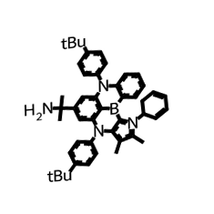 Cc1c2c(n(C3C=CC=CC3)c1C)B1c3ccccc3N(c3ccc(C(C)(C)C)cc3)c3cc(C(C)(C)N)cc(c31)N2c1ccc(C(C)(C)C)cc1